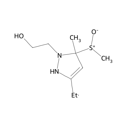 C[CH]C1=CC(C)([S+](C)[O-])N(CCO)N1